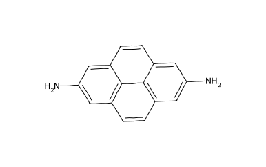 Nc1cc2ccc3cc(N)cc4ccc(c1)c2c34